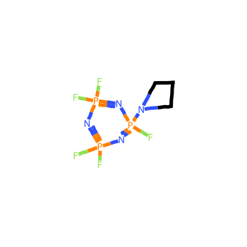 FP1(F)=NP(F)(F)=NP(F)(N2CCC2)=N1